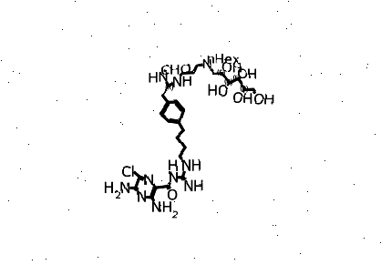 CCCCCCN(CCCN[C@@H](Cc1ccc(CCCCNC(=N)NC(=O)c2nc(Cl)c(N)nc2N)cc1)NC=O)C[C@H](O)[C@@H](O)[C@H](O)[C@H](O)CO